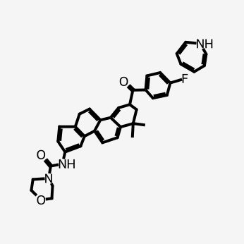 C1=CC=CNC=C1.CC1(C)CC(C(=O)c2ccc(F)cc2)C=c2c1ccc1c2=CCc2ccc(NC(=O)N3CCOCC3)cc2-1